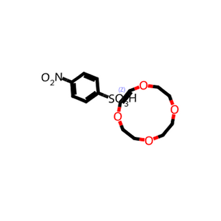 C1=C\OCCOCCOCCO/1.O=[N+]([O-])c1ccc(S(=O)(=O)O)cc1